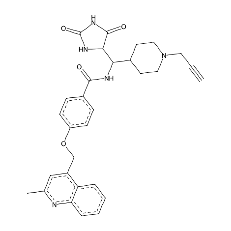 C#CCN1CCC(C(NC(=O)c2ccc(OCc3cc(C)nc4ccccc34)cc2)C2NC(=O)NC2=O)CC1